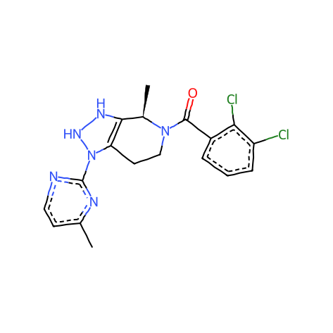 Cc1ccnc(N2NNC3=C2CCN(C(=O)c2cccc(Cl)c2Cl)[C@@H]3C)n1